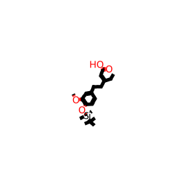 CCC(=CC(=O)O)CCc1ccc(O[Si](C)(C)C(C)(C)C)c(OC)c1